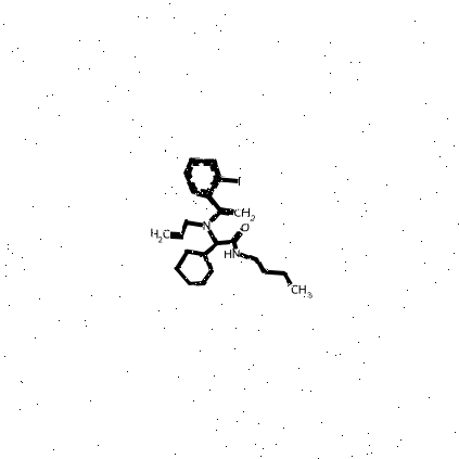 C=CCN(C(=C)c1ccccc1I)C(C(=O)NCCCC)C1CCCCC1